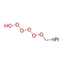 CCCCOOOOOO